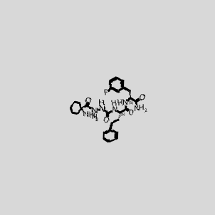 NC(=O)[C@H](Cc1cccc(F)c1)NC(=O)[C@H](CCc1ccccc1)NC(=O)NNC(=O)C1(N)CCCCC1